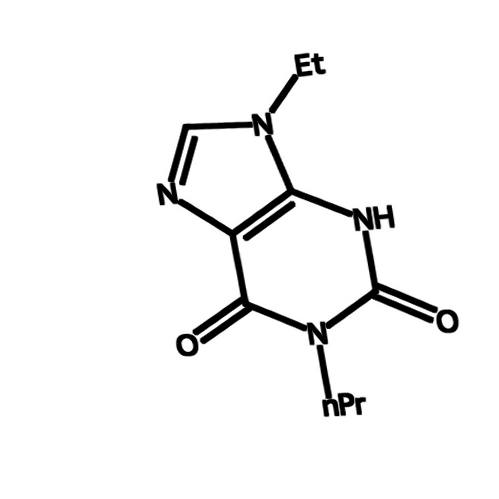 CCCn1c(=O)[nH]c2c(ncn2CC)c1=O